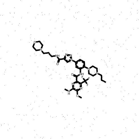 CCCN1CCN(c2ccc(-n3cc(C(=O)NCCCN4CCOCC4)nn3)cc2NC(=O)c2nc(NC)c(OC)nc2C(F)(F)F)CC1